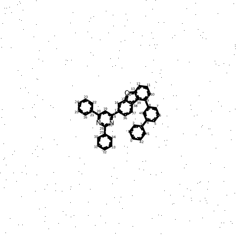 c1ccc(-c2cccc(-c3cccc4oc5cc(-c6cc(-c7ccccc7)nc(-c7ccccc7)n6)ccc5c34)c2)cc1